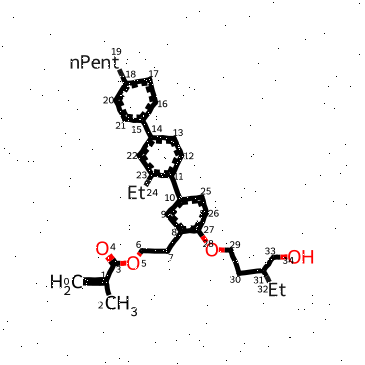 C=C(C)C(=O)OCCc1cc(-c2ccc(-c3ccc(CCCCC)cc3)cc2CC)ccc1OCCC(CC)CO